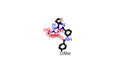 COc1ccc(C(=O)Nc2cccc(-c3nc(NC(P(=O)(O)O)P(=O)(O)O)c4ccsc4n3)c2)cc1